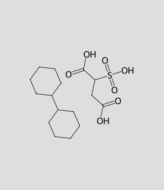 C1CCC(C2CCCCC2)CC1.O=C(O)CC(C(=O)O)S(=O)(=O)O